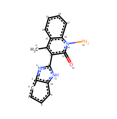 Cc1c(-c2nc3ccccc3[nH]2)c(=O)n(P)c2ccccc12